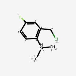 C[SiH](C)c1ccc(F)cc1CCl